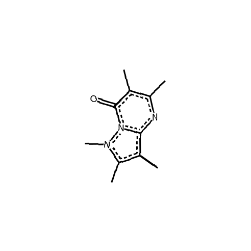 Cc1nc2c(C)c(C)n(C)n2c(=O)c1C